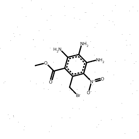 COC(=O)c1c(N)c(N)c(N)c([N+](=O)[O-])c1CBr